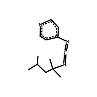 CC(C)CC(C)(C)N=C=Nc1ccncc1